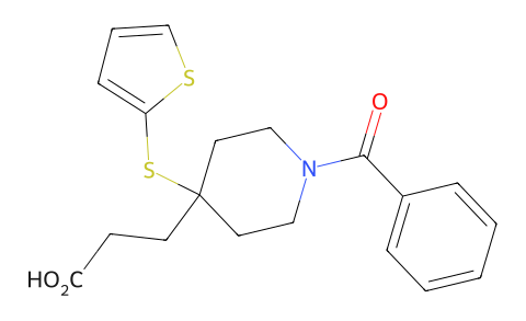 O=C(O)CCC1(Sc2cccs2)CCN(C(=O)c2ccccc2)CC1